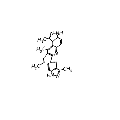 CCCc1c(-c2ccc3[nH]nc(C)c3c2)nc2c(c1C)C1C(C)=NNC1C=C2